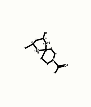 CC(=O)N1CCC2(CC1)NC(C)CC(C)N2